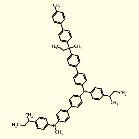 CCC(C)c1ccc(N(C)c2ccc(-c3ccc(N(c4ccc(-c5ccc(C(C)(CC)c6ccc(-c7ccc(C)cc7)cc6)cc5)cc4)c4ccc(C(C)CC)cc4)cc3)cc2)cc1